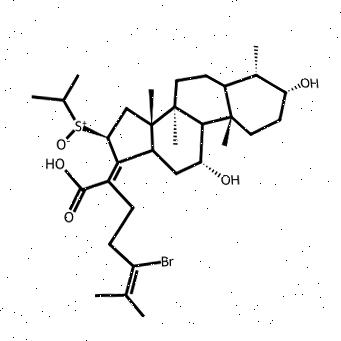 CC(C)=C(Br)CC/C(C(=O)O)=C1\C2C[C@@H](O)C3[C@@]4(C)CC[C@@H](O)[C@@H](C)C4CC[C@]3(C)[C@@]2(C)C[C@@H]1[S+]([O-])C(C)C